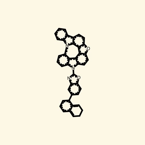 C1=c2cccc(-c3ccc4oc(-n5c6ccc7oc8ccc9c%10ccccc%10n%10c%11cccc5c%11c6c7c8c9%10)nc4c3)c2=CCC1